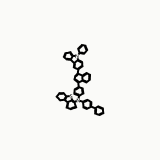 C1=Cc2sc3c(N(c4ccc(-c5ccccc5)cc4)c4ccc(-c5ccc(-c6ccc7c(c6)c6ccccc6n7-c6ccccc6)c6ccccc56)cc4)cccc3c2CC1